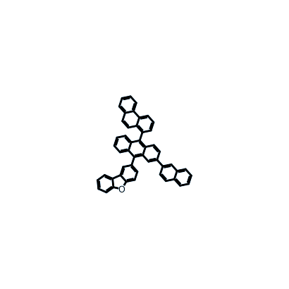 c1ccc2cc(-c3ccc4c(-c5cccc6c5ccc5ccccc56)c5ccccc5c(-c5ccc6oc7ccccc7c6c5)c4c3)ccc2c1